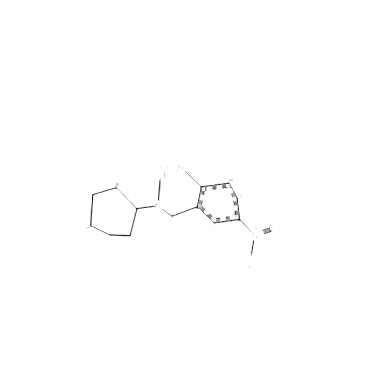 CN(Cc1cc([N+](=O)[O-])ccc1N)C1CCCCC1